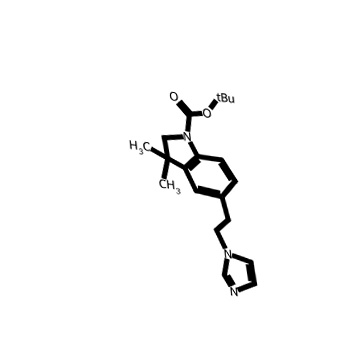 CC(C)(C)OC(=O)N1CC(C)(C)c2cc(CCn3ccnc3)ccc21